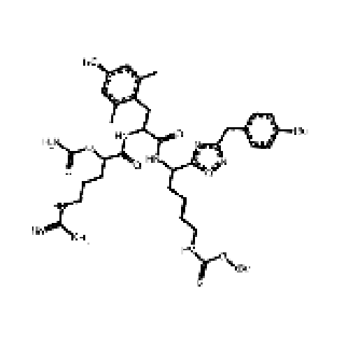 Cc1cc(O)cc(C)c1CC(NC(=O)C(CCCNC(=N)N)OC(N)=O)C(=O)NC(CCCCNC(=O)OC(C)(C)C)c1nc(Cc2ccc(C(C)(C)C)cc2)no1